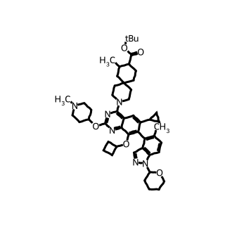 Cc1ccc2c(cnn2C2CCCCO2)c1-c1c(C2CC2)cc2c(N3CCC4(CCC(C(=O)OC(C)(C)C)C(C)C4)CC3)nc(OC3CCN(C)CC3)nc2c1OC1CCC1